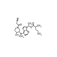 CCCC(C)C(=O)OC(C)n1ccc2c(N(C)C3CN(C(=O)CC#N)CCC3C)ncnc21